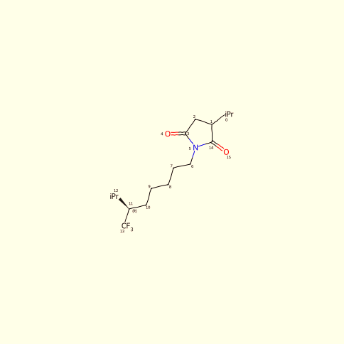 CC(C)C1CC(=O)N(CCCCC[C@H](C(C)C)C(F)(F)F)C1=O